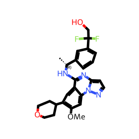 COc1cc2c(cc1C1CCOCC1)c(N[C@H](C)c1cccc(C(F)(F)CO)c1)nc1ccnn12